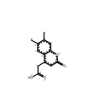 Cc1cc2oc(=O)cc(CC(=O)O)c2cc1C